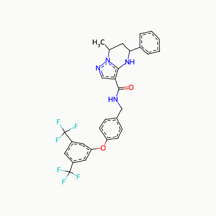 CC1CC(c2ccccc2)Nc2c(C(=O)NCc3ccc(Oc4cc(C(F)(F)F)cc(C(F)(F)F)c4)cc3)cnn21